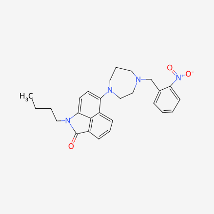 CCCCN1C(=O)c2cccc3c(N4CCCN(Cc5ccccc5[N+](=O)[O-])CC4)ccc1c23